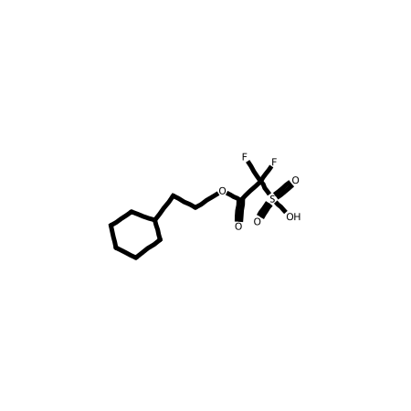 O=C(OCCC1CCCCC1)C(F)(F)S(=O)(=O)O